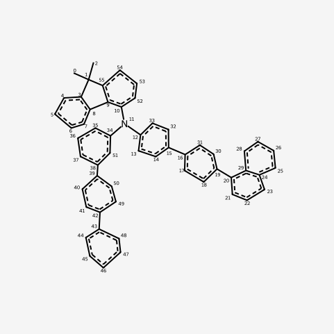 CC1(C)c2ccccc2-c2c(N(c3ccc(-c4ccc(-c5cccc6ccccc56)cc4)cc3)c3cccc(-c4ccc(-c5ccccc5)cc4)c3)cccc21